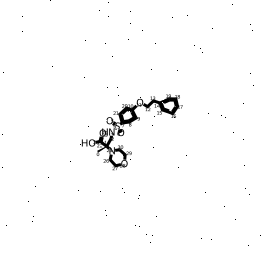 C[C@](CNS(=O)(=O)c1ccc(OCCc2ccccc2)cc1)(C(=O)O)N1CCOCC1